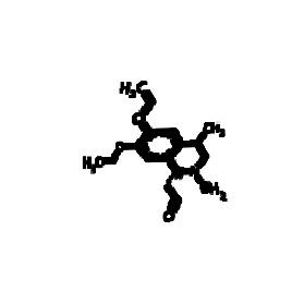 BN1CC(C)c2cc(OCC)c(OCC)cc2[C@H]1CC=O